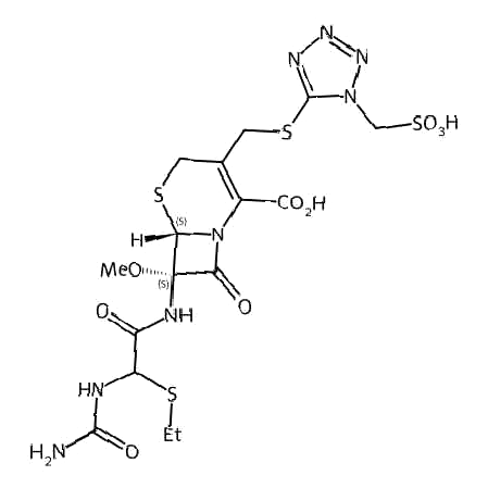 CCSC(NC(N)=O)C(=O)N[C@]1(OC)C(=O)N2C(C(=O)O)=C(CSc3nnnn3CS(=O)(=O)O)CS[C@H]21